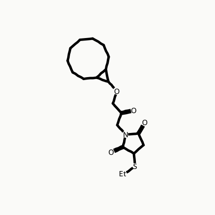 CCSC1CC(=O)N(CC(=O)COC2C3CCCCCCCCC32)C1=O